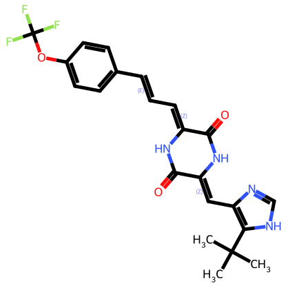 CC(C)(C)c1[nH]cnc1/C=c1\[nH]c(=O)/c(=C/C=C/c2ccc(OC(F)(F)F)cc2)[nH]c1=O